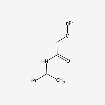 CCCOCC(=O)NC(C)C(C)C